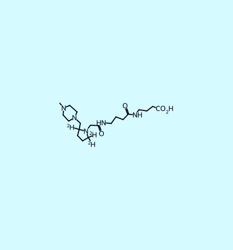 [2H]C1([2H])CCC([2H])(CN2CCN(C)CC2)N1CC(=O)NCCCC(=O)NCCCC(=O)O